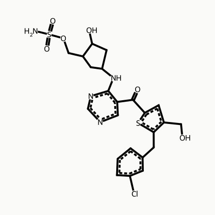 NS(=O)(=O)OCC1CC(Nc2ncncc2C(=O)c2cc(CO)c(Cc3cccc(Cl)c3)s2)CC1O